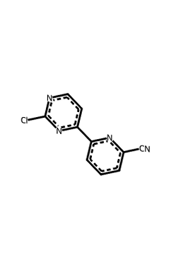 N#Cc1cccc(-c2ccnc(Cl)n2)n1